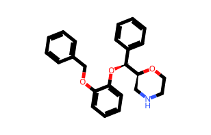 c1ccc(COc2ccccc2O[C@@H](c2ccccc2)[C@@H]2CNCCO2)cc1